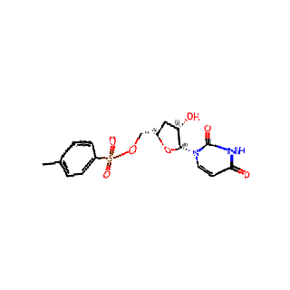 Cc1ccc(S(=O)(=O)OC[C@@H]2C[C@H](O)[C@H](n3ccc(=O)[nH]c3=O)O2)cc1